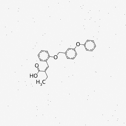 CCC(=Cc1ccccc1OCc1cccc(Oc2ccccc2)c1)C(=O)O